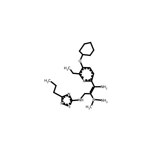 CCCc1nsc(NC/C(=C(/N)c2ccc(OC3CCCCC3)c(CC)n2)N(C)N)n1